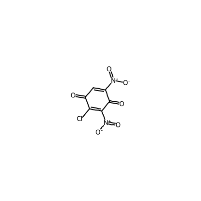 O=C1C=C([N+](=O)[O-])C(=O)C([N+](=O)[O-])=C1Cl